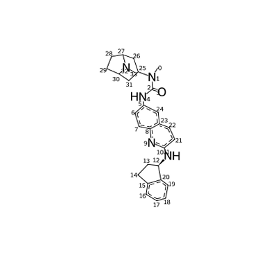 CN(C(=O)Nc1ccc2nc(N[C@@H]3CCc4ccccc43)ccc2c1)C1CC2CCC(C1)N2C